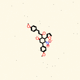 COc1ccc(/C=C/C(=O)C2C(=O)CC(c3ccc(OC)cc3)C([N+](=O)[O-])C2c2ccco2)cc1